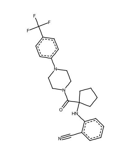 N#Cc1ccccc1NC1(C(=O)N2CCN(c3ccc(C(F)(F)F)cc3)CC2)CCCC1